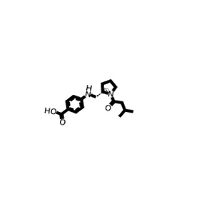 CC(C)CC(=O)N1CCC[C@H]1CNc1ccc(C(=O)O)cc1